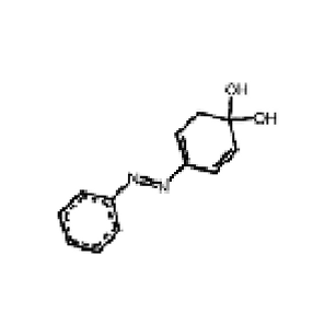 OC1(O)C=CC(N=Nc2ccccc2)=CC1